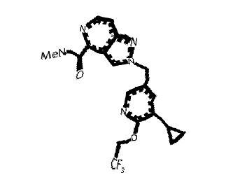 CNC(=O)c1nccc2nn(Cc3cnc(OCC(F)(F)F)c(C4CC4)c3)cc12